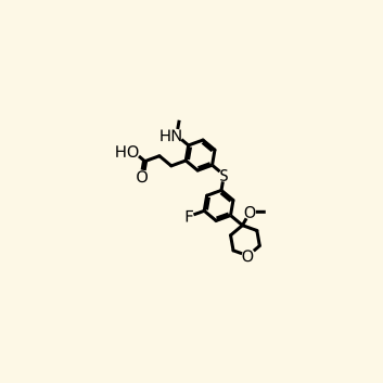 CNc1ccc(Sc2cc(F)cc(C3(OC)CCOCC3)c2)cc1CCC(=O)O